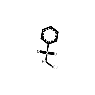 CC(C)(C)NS(=O)(=O)c1[c]cccc1